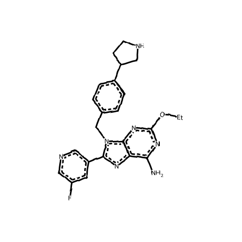 CCOc1nc(N)c2nc(-c3cncc(F)c3)n(Cc3ccc(C4CCNC4)cc3)c2n1